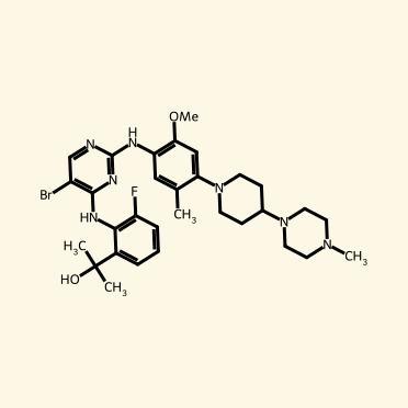 COc1cc(N2CCC(N3CCN(C)CC3)CC2)c(C)cc1Nc1ncc(Br)c(Nc2c(F)cccc2C(C)(C)O)n1